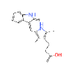 C=C(O)CCc1c(C)[nH]c(/C=c2\c(=C)[nH]c3ccccc23)c1C